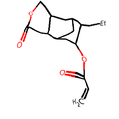 C=CC(=O)OC1C(CC)C2CC1C1C(=O)OCC21